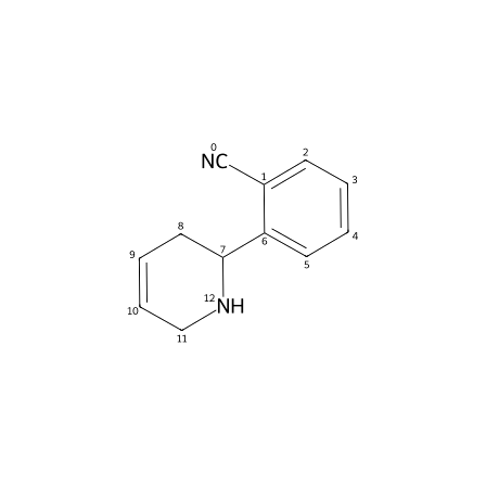 N#Cc1ccccc1C1CC=CCN1